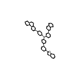 c1cc(-c2ccc(N(c3ccc(-c4ccc5c(ccc6ccccc65)c4)cc3)c3cccc(-c4ccc5ccccc5c4)c3)cc2)cc(-c2cc3ccccc3o2)c1